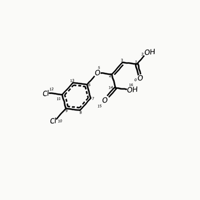 O=C(O)C=C(Oc1ccc(Cl)c(Cl)c1)C(=O)O